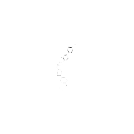 C=CC1CCC(C2CCC(CC(F)(F)COc3ccc(-c4ccc(OCC)cc4)c(F)c3F)CC2)CC1